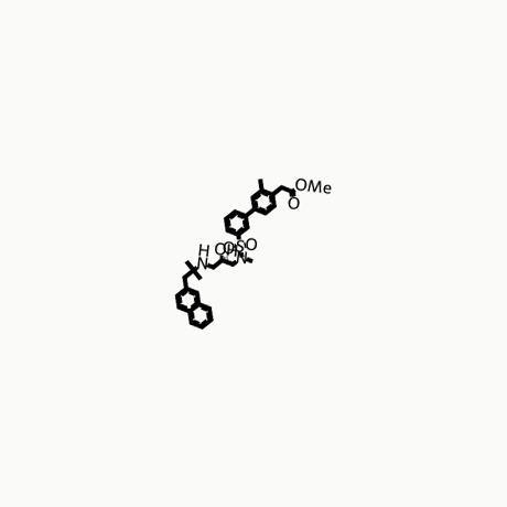 COC(=O)Cc1ccc(-c2cccc(S(=O)(=O)N(C)C[C@H](O)CNC(C)(C)Cc3ccc4ccccc4c3)c2)cc1C